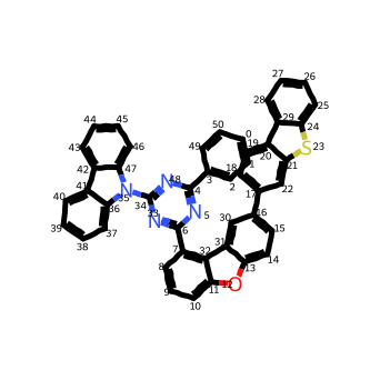 c1ccc(-c2nc(-c3cccc4oc5ccc(-c6ccc7c(c6)sc6ccccc67)cc5c34)nc(-n3c4ccccc4c4ccccc43)n2)cc1